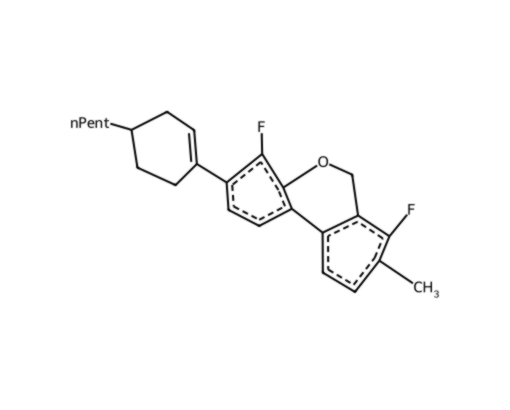 CCCCCC1CC=C(c2ccc3c(c2F)OCc2c-3ccc(C)c2F)CC1